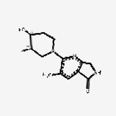 Cc1cc2c(nc1N1CC[C@H](O)[C@H](F)C1)CNC2=O